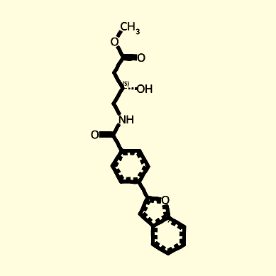 COC(=O)C[C@H](O)CNC(=O)c1ccc(-c2cc3ccccc3o2)cc1